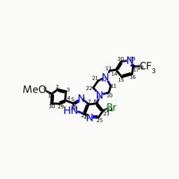 COc1ccc(-c2nc3c(N4CCN(Cc5ccc(C(F)(F)F)nc5)CC4)c(Br)cnc3[nH]2)cc1